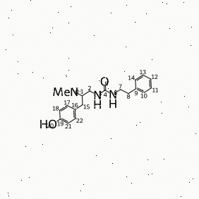 CNC(CNC(=O)NCCc1ccccc1)Cc1ccc(O)cc1